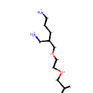 CC(C)COCCOCC(CN)CCCN